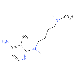 CN(CCCCN(C)c1nccc(N)c1[N+](=O)[O-])C(=O)O